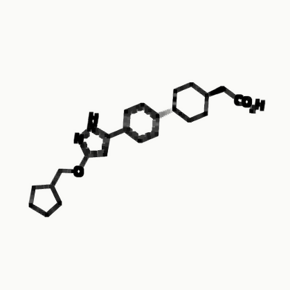 O=C(O)C[C@H]1CC[C@H](c2ccc(-c3cc(OCC4CCCC4)n[nH]3)cc2)CC1